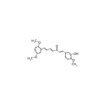 COc1ccc(OC)c(C=CC=CC(=O)C=Cc2ccc(OC)c(O)c2)c1